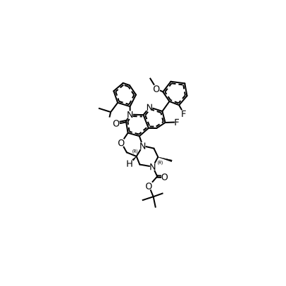 COc1cccc(F)c1-c1nc2c(cc1F)c1c(c(=O)n2-c2ccccc2C(C)C)OC[C@H]2CN(C(=O)OC(C)(C)C)[C@H](C)CN12